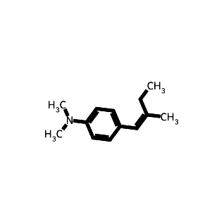 CC/C(C)=C\c1ccc(N(C)C)cc1